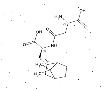 CC1(C)C2CCC1[C@@H](C[C@H](NC(=O)C[C@H](N)C(=O)O)C(=O)O)C2